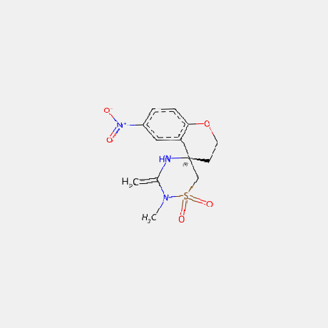 C=C1N[C@@]2(CCOc3ccc([N+](=O)[O-])cc32)CS(=O)(=O)N1C